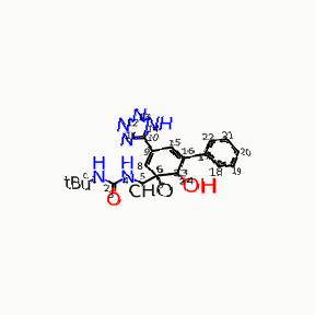 CC(C)(C)NC(=O)NCC1(C=O)C=C(c2nnn[nH]2)C=C(c2ccccc2)C1O